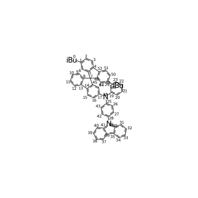 CCC(C)c1ccc2c(c1)C1(c3ccccc3-c3ccc(N(c4ccccc4)c4ccc(-n5c6ccccc6c6ccccc65)cc4)cc31)c1cc(C(C)CC)ccc1-2